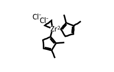 CC1=CC[C]([Zr+2]2([C]3=C(C)C(C)=CC3)[CH2][CH2]2)=C1C.[Cl-].[Cl-]